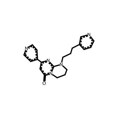 O=c1cc(-c2ccncc2)nc2n1CCCN2CCCc1cccnc1